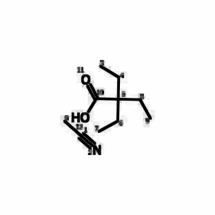 CC#N.CCC(CC)(CC)C(=O)O